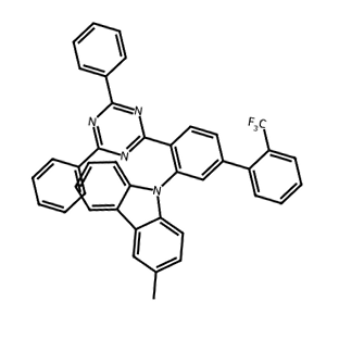 Cc1ccc2c(c1)c1ccccc1n2-c1cc(-c2ccccc2C(F)(F)F)ccc1-c1nc(-c2ccccc2)nc(-c2ccccc2)n1